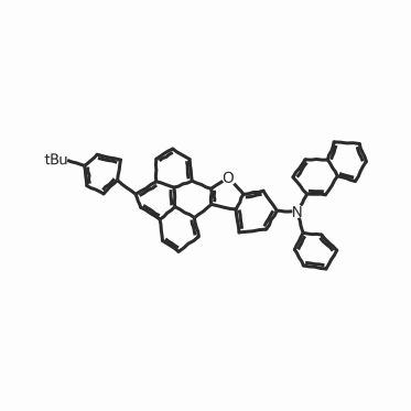 CC(C)(C)c1ccc(-c2cc3cccc4c5c6ccc(N(c7ccccc7)c7ccc8ccccc8c7)cc6oc5c5cccc2c5c34)cc1